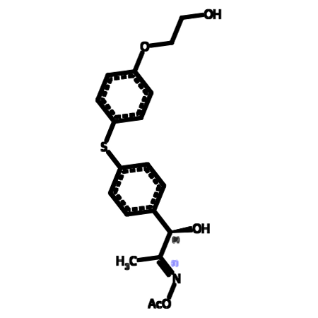 CC(=O)O/N=C(\C)[C@H](O)c1ccc(Sc2ccc(OCCO)cc2)cc1